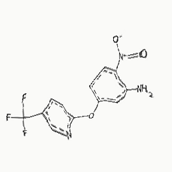 Nc1cc(Oc2ccc(C(F)(F)F)cn2)ccc1[N+](=O)[O-]